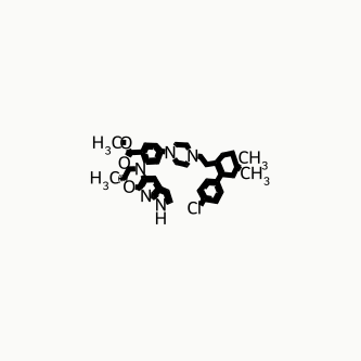 COC(=O)c1ccc(N2CCN(CCC3=C(c4ccc(Cl)cc4)CC(C)(C)CC3)CC2)cc1N1C[C@@H](C)Oc2nc3[nH]ccc3cc21